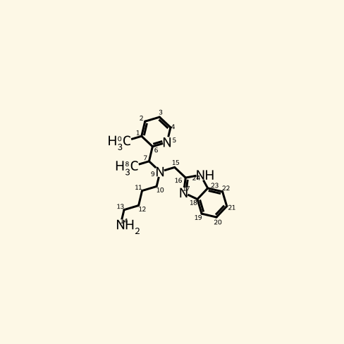 Cc1cccnc1C(C)N(CCCCN)Cc1nc2ccccc2[nH]1